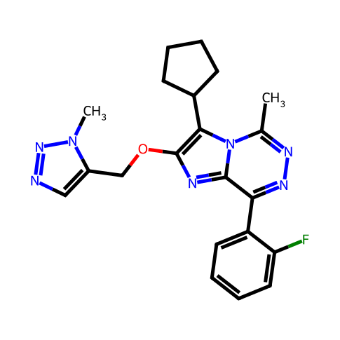 Cc1nnc(-c2ccccc2F)c2nc(OCc3cnnn3C)c(C3CCCC3)n12